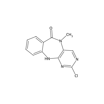 CN1C(=O)c2ccccc2Nc2nc(Cl)ncc21